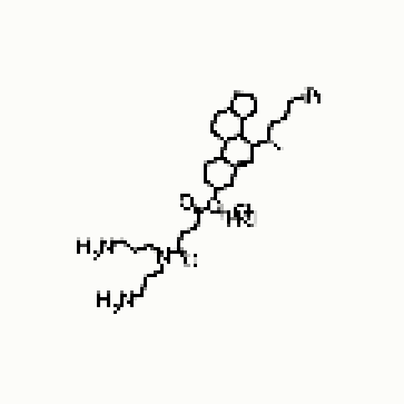 CC(C)CCC[C@@H](C)C1C=C2CC(OC(=O)CCC(=O)N(CCCN)CCCN)CCC2C2CCC3CCCC3C21.Cl.Cl